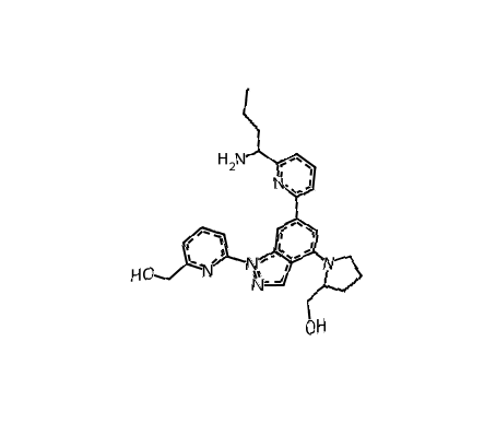 CCCC(N)c1cccc(-c2cc(N3CCCC3CO)c3cnn(-c4cccc(CO)n4)c3c2)n1